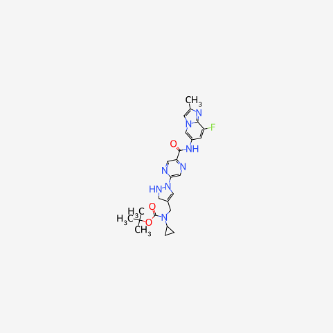 Cc1cn2cc(NC(=O)c3cnc(N4C=C(CN(C(=O)OC(C)(C)C)C5CC5)CN4)cn3)cc(F)c2n1